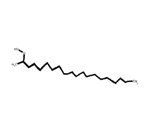 CCCCCCCCCCCCCCCCCCC(C)OO